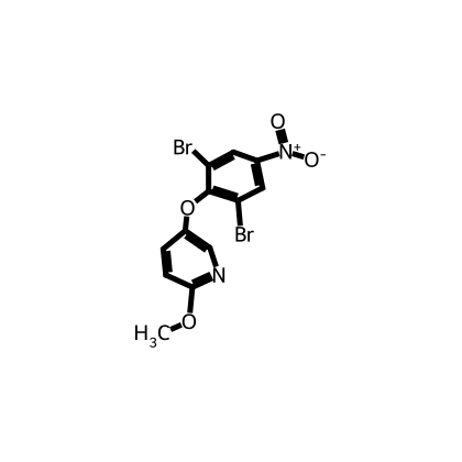 COc1ccc(Oc2c(Br)cc([N+](=O)[O-])cc2Br)cn1